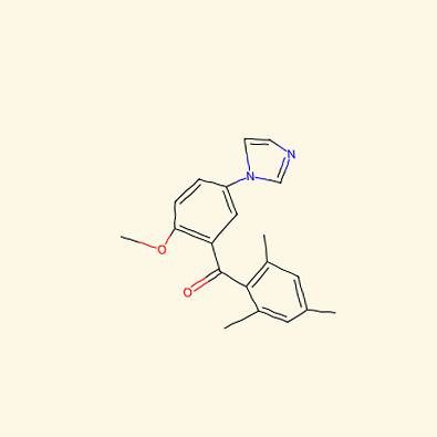 COc1ccc(-n2ccnc2)cc1C(=O)c1c(C)cc(C)cc1C